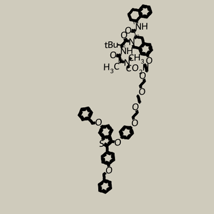 C[C@@H](C(=O)N[C@H](C(=O)N1Cc2cc(OCCOCCOCCOCCOc3ccc(Oc4c(-c5ccc(OCc6ccccc6)cc5)sc5cc(OCc6ccccc6)ccc45)cc3)ccc2C[C@H]1C(=O)N[C@@H]1CCCc2ccccc21)C(C)(C)C)N(C)C(=O)O